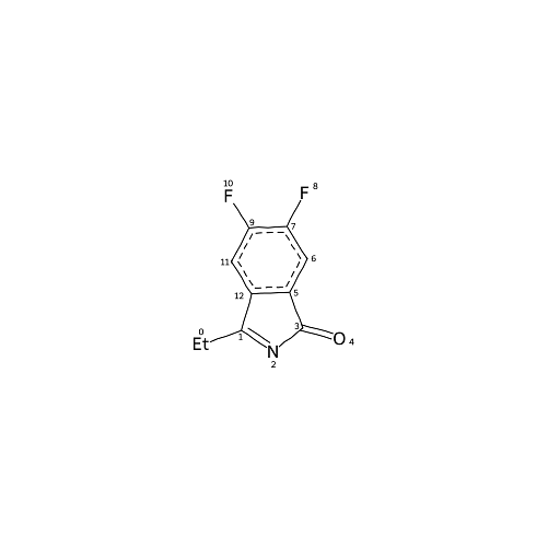 CCC1=NC(=O)c2cc(F)c(F)cc21